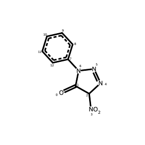 O=C1C([N+](=O)[O-])N=NN1c1ccccc1